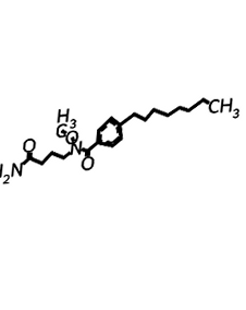 CCCCCCCCc1ccc(C(=O)N(CCCC(N)=O)OC)cc1